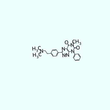 CN(C)CCc1ccc(-c2nnc3c(n2)c(=O)n(C)c(=O)n3-c2ccccc2)cc1